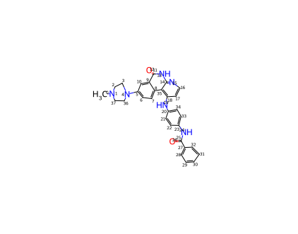 CN1CCN(c2ccc3c(c2)c(=O)[nH]c2nccc(Nc4ccc(NC(=O)c5ccccc5)cc4)c23)CC1